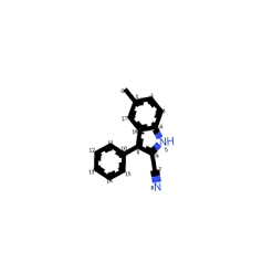 Cc1ccc2[nH]c(C#N)c(-c3ccccc3)c2c1